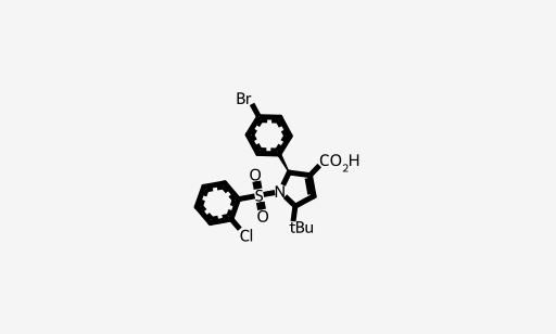 CC(C)(C)C1C=C(C(=O)O)[C@H](c2ccc(Br)cc2)N1S(=O)(=O)c1ccccc1Cl